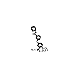 COC(OC)c1cc(Sc2cccc(NSc3ccccc3)c2)ccc1[N+](=O)[O-]